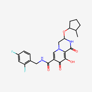 CC1CCCC1OC1Cn2cc(C(=O)NCc3ccc(F)cc3F)c(=O)c(O)c2C(=O)N1